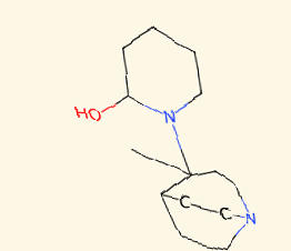 CC1(N2CCCCC2O)CCN2CCC1CC2